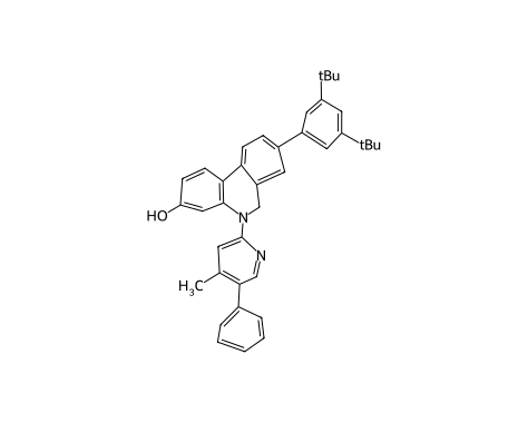 Cc1cc(N2Cc3cc(-c4cc(C(C)(C)C)cc(C(C)(C)C)c4)ccc3-c3ccc(O)cc32)ncc1-c1ccccc1